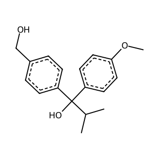 COc1ccc(C(O)(c2ccc(CO)cc2)C(C)C)cc1